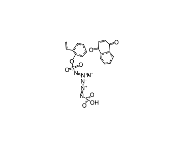 C=Cc1ccccc1OS(=O)(=O)N=[N+]=[N-].O=C1C=CC(=O)c2ccccc21.[N-]=[N+]=NS(=O)(=O)O